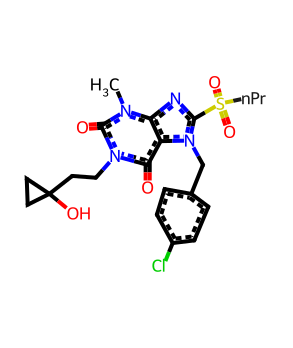 CCCS(=O)(=O)c1nc2c(c(=O)n(CCC3(O)CC3)c(=O)n2C)n1Cc1ccc(Cl)cc1